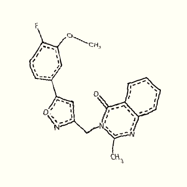 COc1cc(-c2cc(Cn3c(C)nc4ccccc4c3=O)no2)ccc1F